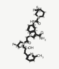 Cc1cccc(C[C@@H](O)[C@H]2C[C@@H](F)CN2C(=O)Cn2cc(C(N)=O)c3cc(NC(=O)N4CCCC(F)(F)C4)ccc32)n1